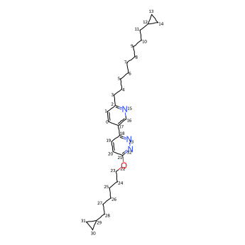 c1cc(CCCCCCCCCC2CC2)ncc1-c1ccc(OCCCCCCC2CC2)nn1